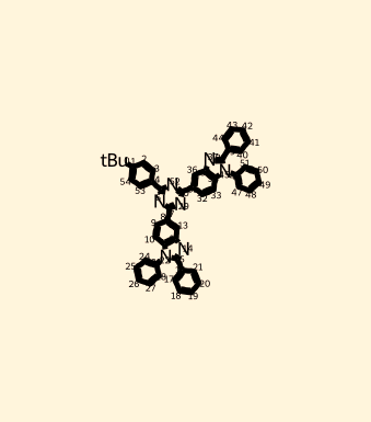 CC(C)(C)c1ccc(-c2nc(-c3ccc4c(c3)nc(-c3ccccc3)n4-c3ccccc3)nc(-c3ccc4c(c3)nc(-c3ccccc3)n4-c3ccccc3)n2)cc1